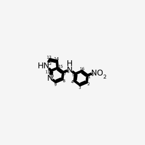 O=[N+]([O-])c1cccc(Nc2ccnc3[nH]ccc23)c1